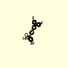 O=c1[nH]c2cc(Br)ccc2n1C1CCN(C2CCC(c3ccc(F)cc3)(c3ccc(F)cc3)CC2)CC1